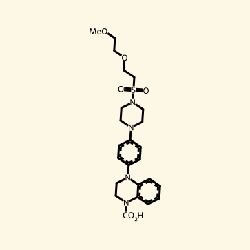 COCCOCCS(=O)(=O)N1CCN(c2ccc(N3CCN(C(=O)O)c4ccccc43)cc2)CC1